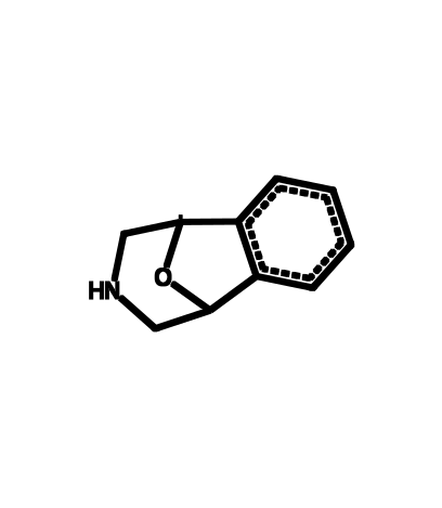 c1ccc2c(c1)[C]1CNCC2O1